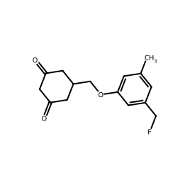 Cc1cc(CF)cc(OCC2CC(=O)CC(=O)C2)c1